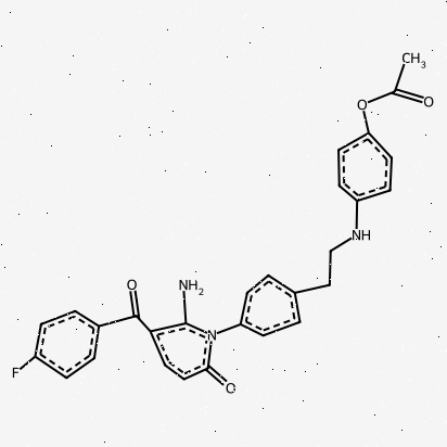 CC(=O)Oc1ccc(NCCc2ccc(-n3c(N)c(C(=O)c4ccc(F)cc4)ccc3=O)cc2)cc1